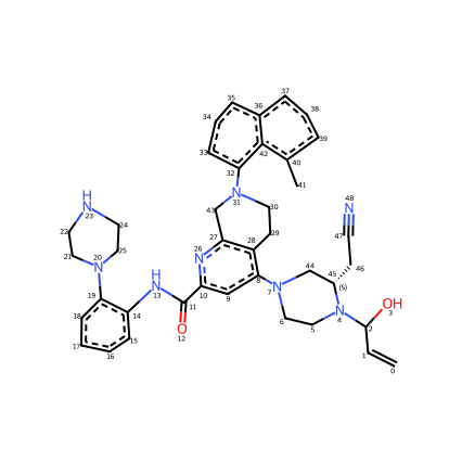 C=CC(O)N1CCN(c2cc(C(=O)Nc3ccccc3N3CCNCC3)nc3c2CCN(c2cccc4cccc(C)c24)C3)C[C@@H]1CC#N